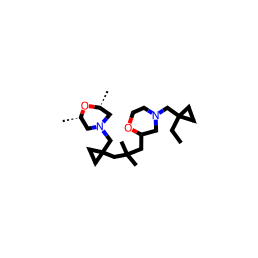 CCC1(CN2CCOC(CC(C)(C)CC3(CN4C[C@@H](C)O[C@@H](C)C4)CC3)C2)CC1